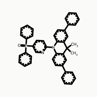 CC1(C)c2cc(-c3ccccc3)ccc2N(c2ccc(P(=O)(c3ccccc3)c3ccccc3)cn2)c2ccc(-c3ccccc3)cc21